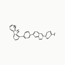 Ic1ccc(-c2ccc3cc(-c4ccc(-c5cccc6c5sc5ncccc56)cc4)ccc3c2)cc1